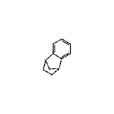 c1ccc2c(c1)[C]1CCC2C1